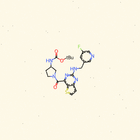 CC(C)(C)OC(=O)NC1CCN(C(=O)c2nc(NCc3cncc(F)c3)nc3ccsc23)C1